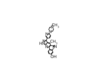 Cc1c(C#N)c(-c2ccc(O)cc2F)nc2[nH]nc(-c3ccc(N4CCN(C)CC4)nc3)c12